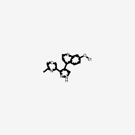 CCOc1ccc2c(-c3c[nH]nc3-c3cccc(C)n3)ccnc2c1